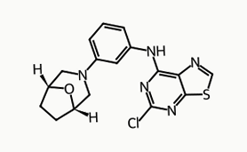 Clc1nc(Nc2cccc(N3C[C@H]4CC[C@@H](C3)O4)c2)c2ncsc2n1